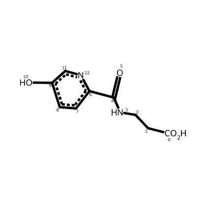 O=C(O)CCNC(=O)c1ccc(O)cn1